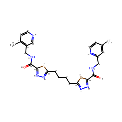 O=C(NCc1cc(C(F)(F)F)ccn1)c1nnc(CCCCc2nnc(C(=O)NCc3cnccc3C(F)(F)F)s2)s1